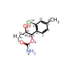 Cc1ccc([C@@H](OC(N)=O)[C@@H](C)O)c(Cl)c1